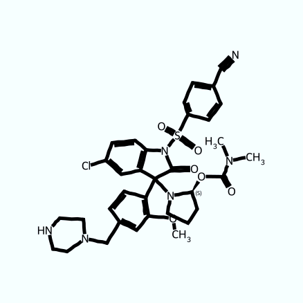 COc1cc(CN2CCNCC2)ccc1C1(N2CCC[C@@H]2OC(=O)N(C)C)C(=O)N(S(=O)(=O)c2ccc(C#N)cc2)c2ccc(Cl)cc21